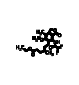 CCOC(=O)CC/C(C)=C/Cc1c(NC(=O)C(F)F)c2c(c(C)c1OC)COC2=O